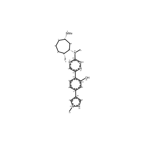 CN[C@H]1CCC[C@@H](F)[C@@H](N(C)c2ncc(-c3ccc(-c4cnn(C)c4)cc3O)nn2)C1